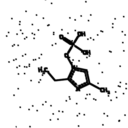 CCc1nc(C)cn1OP(=O)(O)O